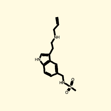 C=CCNCCc1c[nH]c2ccc(CNS(C)(=O)=O)cc12